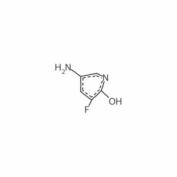 Nc1cnc(O)c(F)c1